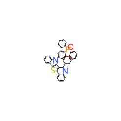 O=P(c1ccccc1)(c1ccccc1)c1ccc(-n2c3ccccc3c3sc4c5ccccc5nc(-c5ccccc5)c4c32)cc1